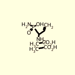 C=CC(N)P(N)(=O)O.CC(=O)O.CC(=O)O